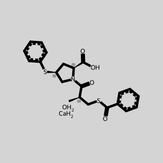 C[C@H](CSC(=O)c1ccccc1)C(=O)N1C[C@@H](Sc2ccccc2)C[C@H]1C(=O)O.O.[CaH2]